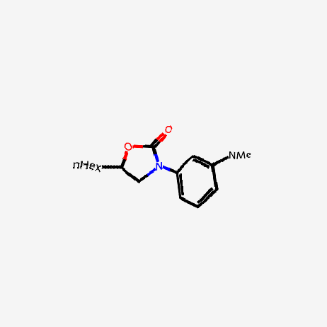 CCCCCCC1CN(c2cccc(NC)c2)C(=O)O1